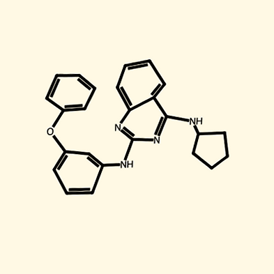 c1ccc(Oc2cccc(Nc3nc(NC4CCCC4)c4ccccc4n3)c2)cc1